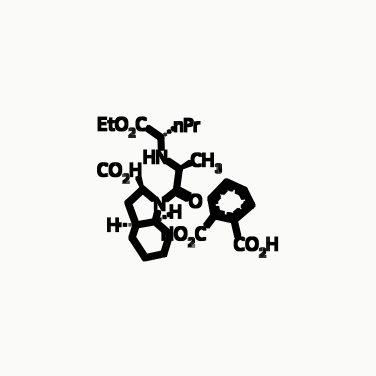 CCC[C@H](N[C@@H](C)C(=O)N1[C@H](C(=O)O)C[C@@H]2CCCC[C@@H]21)C(=O)OCC.O=C(O)c1ccccc1C(=O)O